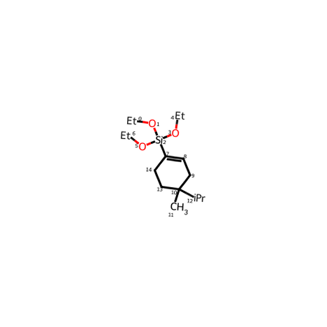 CCO[Si](OCC)(OCC)C1=CCC(C)(C(C)C)CC1